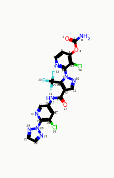 NC(=O)Oc1ccnc(-n2ncc(C(=O)Nc3cnc(-n4nccn4)c(Cl)c3)c2C(F)(F)F)c1Cl